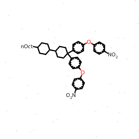 CCCCCCCCC1CCC(C2CCC(c3ccc(Oc4ccc([N+](=O)[O-])cc4)cc3)(c3ccc(Oc4ccc([N+](=O)[O-])cc4)cc3)CC2)CC1